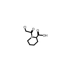 O=C(O)C1CCCCN1C(=O)CCl